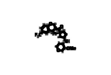 CO[C@@H]1COCC[C@@H]1N[C@@H]1CC[C@@](C(=O)N2COc3ccc(C(F)(F)F)cc3C2)(C(C)C)C1